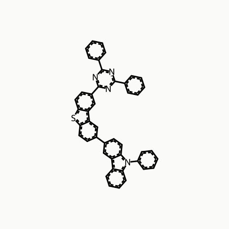 c1ccc(-c2nc(-c3ccccc3)nc(-c3ccc4sc5ccc(-c6ccc7c(c6)c6ccccc6n7-c6ccccc6)cc5c4c3)n2)cc1